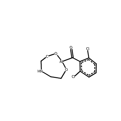 O=[C](c1c(Cl)cccc1Cl)[Al]1[O]CCNCC[O]1